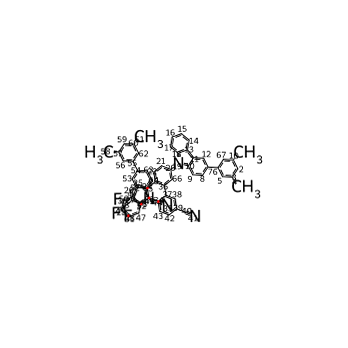 Cc1cc(C)cc(-c2ccc3c(c2)c2ccccc2n3-c2ccc(-c3ccc(C(F)(F)F)cc3C#N)c(-c3cc(C#N)ccc3-n3c4ccccc4c4cc(-c5cc(C)cc(C)c5)ccc43)c2)c1